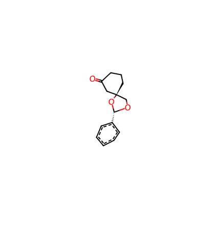 O=C1CCC[C@]2(CO[C@H](c3ccccc3)O2)C1